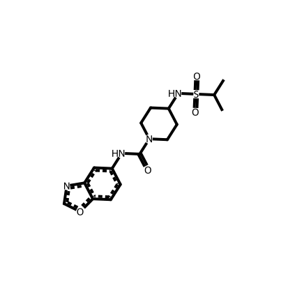 CC(C)S(=O)(=O)NC1CCN(C(=O)Nc2ccc3ocnc3c2)CC1